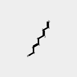 [CH]=CC=CCC=CC[CH2]